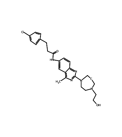 Cc1nc(N2CCCN(CCO)CC2)nc2ccc(NC(=O)CCc3ccc(Cl)cc3)cc12